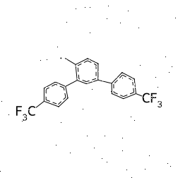 [CH2]c1ccc(-c2ccc(C(F)(F)F)cc2)cc1-c1ccc(C(F)(F)F)cc1